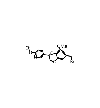 CCOc1ccc(C2COc3cc(CBr)cc(OC)c3O2)cn1